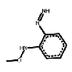 N=Nc1ccccc1NOI